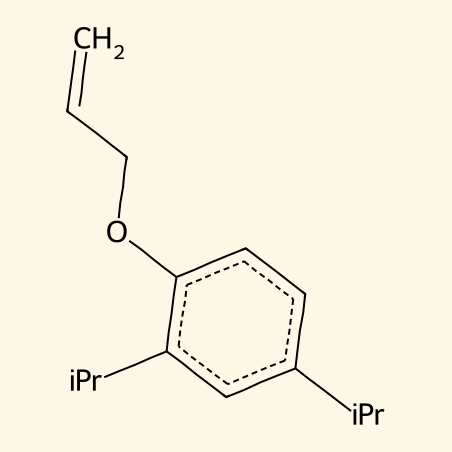 C=CCOc1ccc(C(C)C)cc1C(C)C